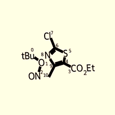 CC(C)(C)ON=O.CCOC(=O)c1sc(Cl)nc1C